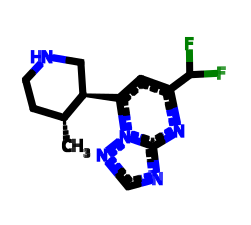 C[C@@H]1CCNC[C@H]1c1cc(C(F)F)nc2ncnn12